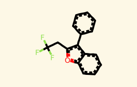 FC(F)(F)Cc1oc2ccccc2c1-c1ccccc1